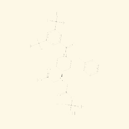 CC(C)(C)OC(=O)CN(CC(=O)O)[C@H]1CCN(C(=O)c2cc(C(F)(F)F)cc(C(F)(F)F)c2)[C@H](Cc2ccccc2)C1